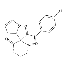 O=C1CCCC(=O)C1(C(=O)Nc1ccc(Cl)cc1)c1ccco1